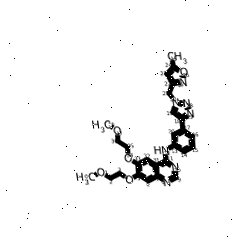 COCCOc1cc2ncnc(Nc3cccc(-c4cn(Cc5cc(C)on5)nn4)c3)c2cc1OCCOC